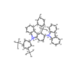 Cc1cccc(-c2cccc3c2c2c(C(C)(C)C)c(-n4c5ccccc5c5ccccc54)ccc2n3-c2cc(C(C)(C)C)cc(C(C)(C)C)c2)c1